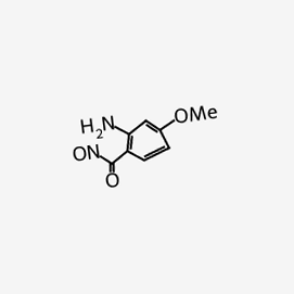 COc1ccc(C(=O)N=O)c(N)c1